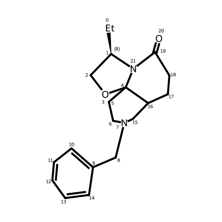 CC[C@@H]1COC23CCN(Cc4ccccc4)CC2CCC(=O)N13